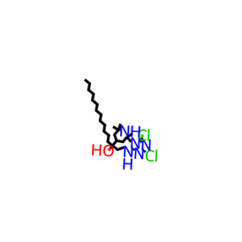 CCCCCCCCCCCCCC(O)(CCNc1nc(Cl)nc(Cl)n1)C1CC(C)(C)NC(C)(C)C1